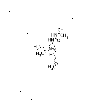 COCCNC[C@@H]1C[C@@H](NC(=O)NC(C)C)CN1C[C@@H](C)CN